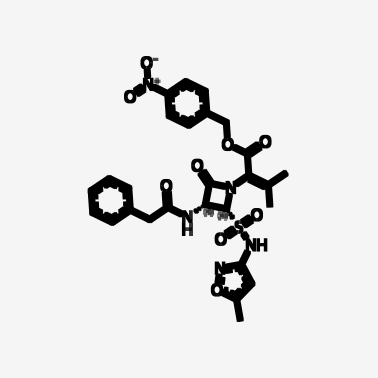 CC(C)=C(C(=O)OCc1ccc([N+](=O)[O-])cc1)N1C(=O)[C@@H](NC(=O)Cc2ccccc2)[C@H]1S(=O)(=O)Nc1cc(C)on1